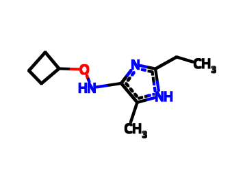 CCc1nc(NOC2CCC2)c(C)[nH]1